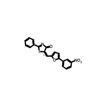 O=C1N=C(c2ccccc2)S/C1=C/c1ccc(-c2cccc([N+](=O)[O-])c2)o1